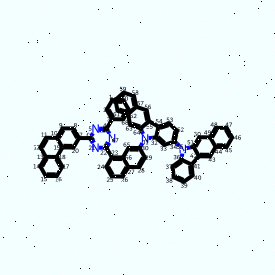 c1ccc(-c2nc(-c3ccc4ccc5ccccc5c4c3)nc(-c3cccc4ccc(-n5c6cc(-n7c8ccccc8c8cc9ccccc9cc87)ccc6c6cc7ccccc7cc65)cc34)n2)cc1